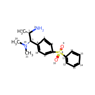 C[C@H](N)[C@H](c1ccc(S(=O)(=O)c2ccccc2)cc1)N(C)C